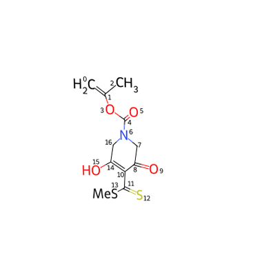 C=C(C)OC(=O)N1CC(=O)C(C(=S)SC)=C(O)C1